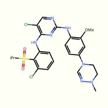 COc1cc(N2C=NN(C)CC2)ccc1Nc1ncc(Cl)c(Nc2cccc(Cl)c2S(=O)(=O)C(C)C)n1